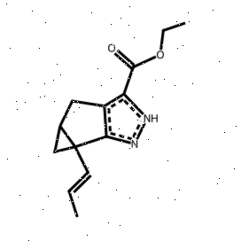 CC=CC12CC1Cc1c2n[nH]c1C(=O)OCC